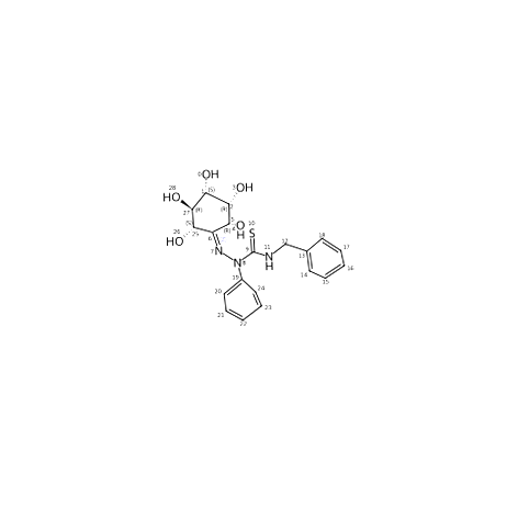 O[C@@H]1[C@H](O)[C@H](O)/C(=N\N(C(=S)NCc2ccccc2)c2ccccc2)[C@H](O)[C@H]1O